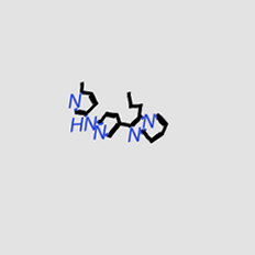 CCCc1c(-c2ccc(Nc3ccc(C)nc3)nc2)nc2ccccn12